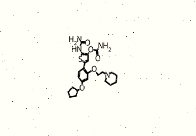 NC(=O)Nc1sc(-c2ccc(OC3CCCC3)cc2OCCN2CCCCC2)cc1OC(N)=O